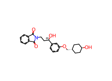 O=C1c2ccccc2C(=O)N1CC[C@@H](O)c1cccc(OC[C@H]2CC[C@H](O)CC2)c1